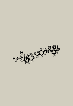 C[C@@H](Oc1ccc2c(n1)CCN(CCC1CCC(/C=N/C(=O)c3cccc(=O)n3C)CC1)CC2)C(F)(F)F